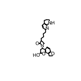 O=C(O)CC(c1ccc2c(c1)CCO2)N1CC(CCCCc2ccc3c(n2)NCCC3)C1=O